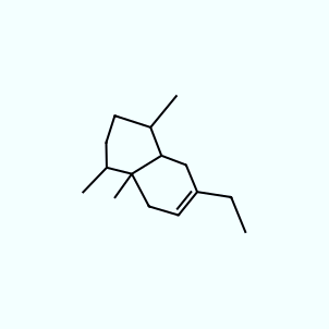 CCC1=CCC2(C)C(C)CCC(C)C2C1